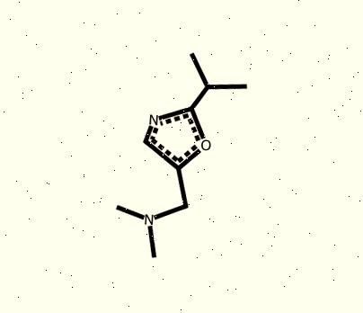 CC(C)c1ncc(CN(C)C)o1